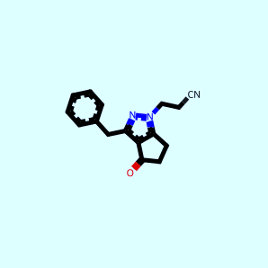 N#CCCn1nc(Cc2ccccc2)c2c1CCC2=O